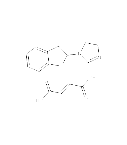 C1=NCCN1C1Cc2ccccc2O1.O=C(O)C=CC(=O)O